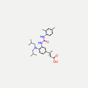 C/C(=C\C(=O)O)c1ccc(N(CC(C)C)CC(C)C)c(NC(=O)Nc2ccc(C)cc2C)c1